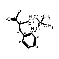 C[N+](C)(C)C.O=C([O-])C(O)Cc1ccccc1